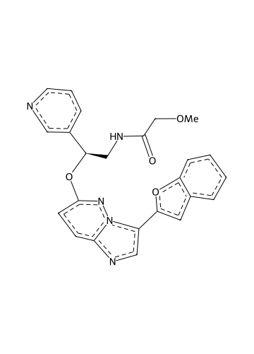 COCC(=O)NC[C@@H](Oc1ccc2ncc(-c3cc4ccccc4o3)n2n1)c1cccnc1